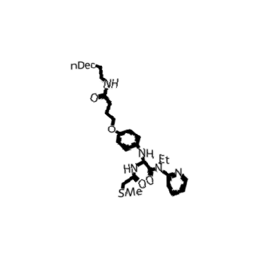 CCCCCCCCCCCCNC(=O)CCCOc1ccc(NC(NC(=O)CSC)C(=O)N(CC)c2ccccn2)cc1